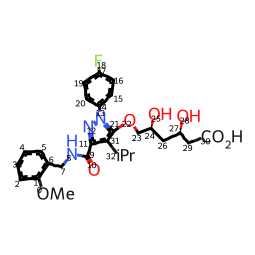 COc1ccccc1CNC(=O)c1nn(-c2ccc(F)cc2)c(OC[C@@H](O)C[C@@H](O)CC(=O)O)c1C(C)C